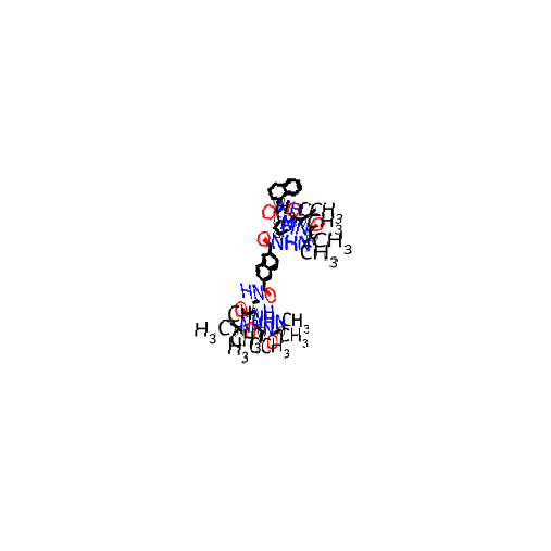 CN[C@@H](C)C(=O)N[C@H](C(=O)N[C@@H](CCNC(=O)c1ccc2cc(C(=O)N[C@H]3C[C@@H](C(=O)N[C@@H]4CCCc5ccccc54)N(C(=O)[C@@H](NC(=O)[C@H](C)NC)C(C)(C)C)C3)ccc2c1)C(=O)N[C@H](C)C(C)C)C(C)C